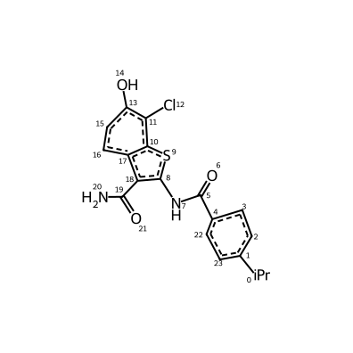 CC(C)c1ccc(C(=O)Nc2sc3c(Cl)c(O)ccc3c2C(N)=O)cc1